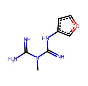 CN(C(=N)N)C(=N)Nc1ccoc1